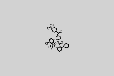 COc1cccc(-c2ccccc2)c1C(=O)N(C)[C@@H]1CCN(C(=O)C2CCN(C(C)=O)CC2)C[C@H]1c1ccc(Cl)c(Cl)c1